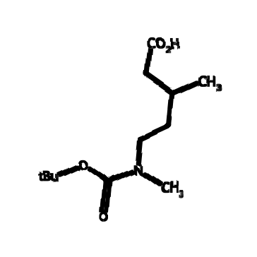 CC(CCN(C)C(=O)OC(C)(C)C)CC(=O)O